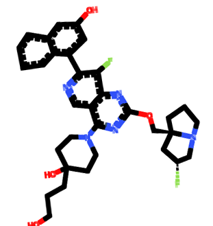 OCCCC1(O)CCN(c2nc(OC[C@@]34CCCN3C[C@H](F)C4)nc3c(F)c(-c4cc(O)cc5ccccc45)ncc23)CC1